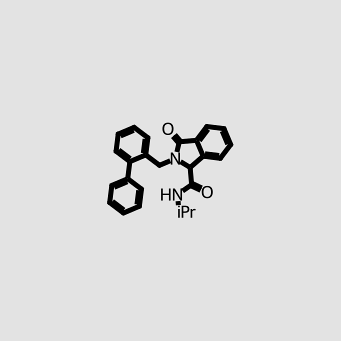 CC(C)NC(=O)C1c2ccccc2C(=O)N1Cc1ccccc1-c1ccccc1